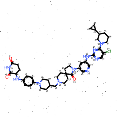 O=C1CCC(Nc2ccc(N3CCC(CN4CCC5(CC4)CCN(c4cncc(Nc6ncc(Cl)c(N7CCCC(C8CC8)C7)n6)c4)C5=O)CC3)cc2)C(=O)N1